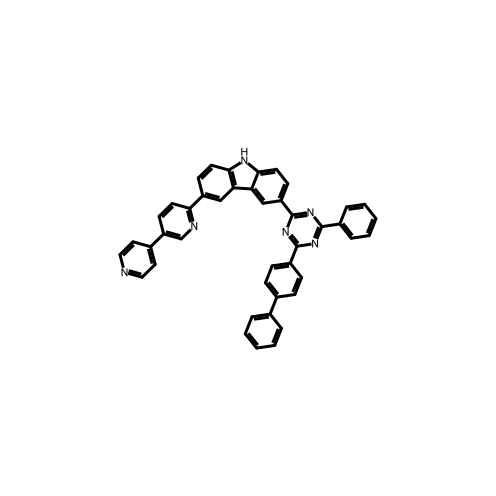 c1ccc(-c2ccc(-c3nc(-c4ccccc4)nc(-c4ccc5[nH]c6ccc(-c7ccc(-c8ccncc8)cn7)cc6c5c4)n3)cc2)cc1